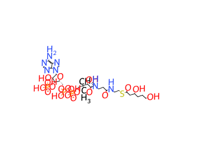 CC(C)(COP(=O)(O)OP(=O)(O)OC[C@H]1O[C@@H](n2cnc3c(N)ncnc32)[C@H](O)[C@@H]1OP(=O)(O)O)[C@@H](O)C(=O)NCCC(=O)NCCSC(=O)CC(O)CCCO